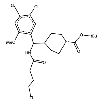 COc1cc(Cl)c(Cl)cc1C(NC(=O)CCCCl)C1CCN(C(=O)OC(C)(C)C)CC1